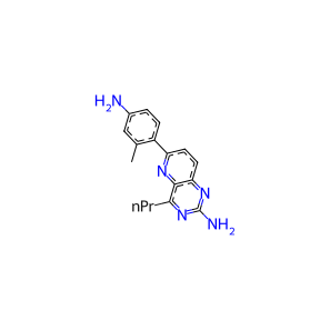 CCCc1nc(N)nc2ccc(-c3ccc(N)cc3C)nc12